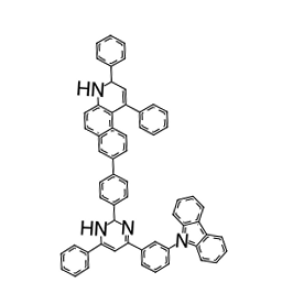 C1=C(c2ccccc2)NC(c2ccc(-c3ccc4c5c(ccc4c3)NC(c3ccccc3)C=C5c3ccccc3)cc2)N=C1c1cccc(-n2c3ccccc3c3ccccc32)c1